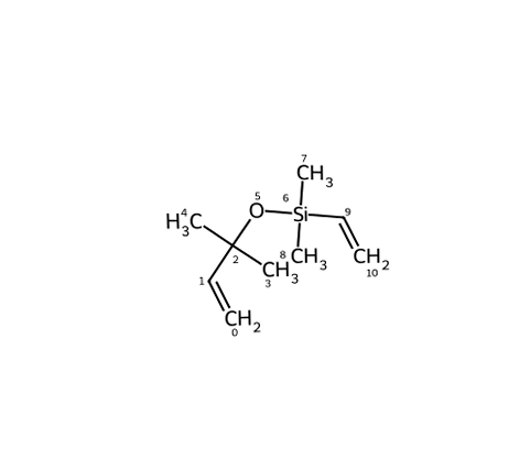 C=CC(C)(C)O[Si](C)(C)C=C